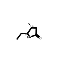 CC[C@@H]1NC(=O)C[C@H]1C